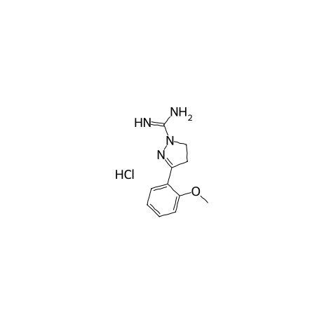 COc1ccccc1C1=NN(C(=N)N)CC1.Cl